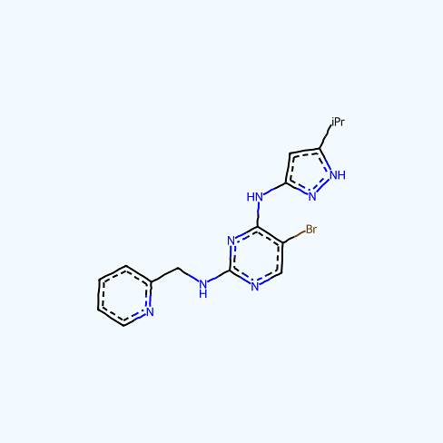 CC(C)c1cc(Nc2nc(NCc3ccccn3)ncc2Br)n[nH]1